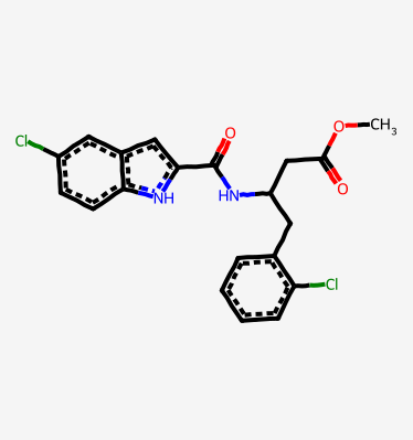 COC(=O)CC(Cc1ccccc1Cl)NC(=O)c1cc2cc(Cl)ccc2[nH]1